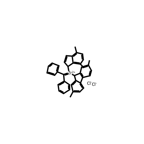 Cc1ccc2c(c1)[CH]([Zr+2](=[C](c1ccccc1)c1ccccc1)[CH]1C=Cc3c(C)ccc(C)c31)c1cc(C)ccc1-2.[Cl-].[Cl-]